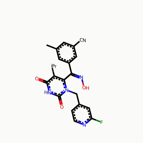 Cc1cc(C#N)cc(C(=NO)c2c(C(C)C)c(=O)[nH]c(=O)n2Cc2ccnc(F)c2)c1